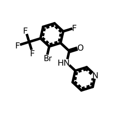 O=C(Nc1cccnc1)c1c(F)ccc(C(F)(F)F)c1Br